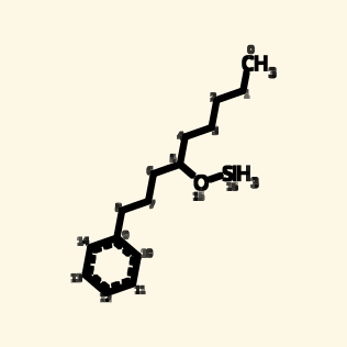 CCCCCC(CCCc1ccccc1)O[SiH3]